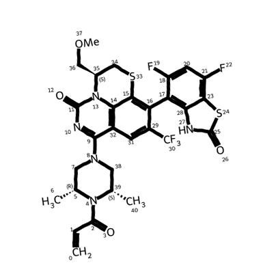 C=CC(=O)N1[C@H](C)CN(c2nc(=O)n3c4c(c(-c5c(F)cc(F)c6sc(=O)[nH]c56)c(C(F)(F)F)cc24)SC[C@@H]3COC)C[C@@H]1C